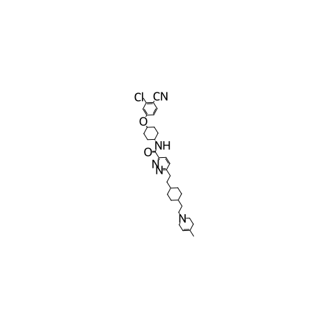 CC1=CCN(CCC2CCC(CCc3ccc(C(=O)N[C@H]4CC[C@H](Oc5ccc(C#N)c(Cl)c5)CC4)nn3)CC2)CC1